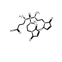 CN(CCC(=O)O)P(=O)(N(C)CCN1C(=O)C=CC1=O)N(C)CCN1C(=O)C=CC1O